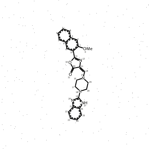 COc1cc2ccccc2cc1C1=N/C(=C/N2CCN(c3nc4ccccc4[nH]3)CC2)C(=O)O1